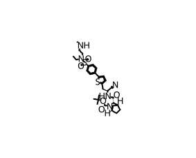 CCN(CCNC)S(=O)(=O)c1ccc(-c2ccc(C[C@@H](C#N)NC(=O)[C@@H]3[C@H]4CC[C@H](C4)N3C(=O)OC(C)(C)C)s2)cc1